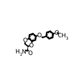 COc1ccc(COc2ccc3c(c2)O[C@@H](C(N)=O)CO3)cc1